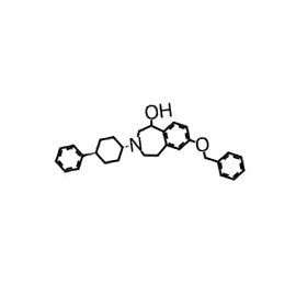 OC1CN([C@H]2CC[C@H](c3ccccc3)CC2)CCc2cc(OCc3ccccc3)ccc21